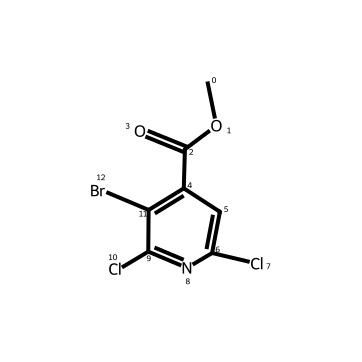 COC(=O)c1cc(Cl)nc(Cl)c1Br